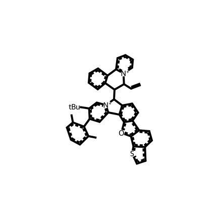 C=CC1C(C2c3ccc4c(oc5c4ccc4ccsc45)c3-c3cc(-c4c(C)cccc4C)c(C(C)(C)C)c[n+]32)c2ccccc2-c2cccc[n+]21